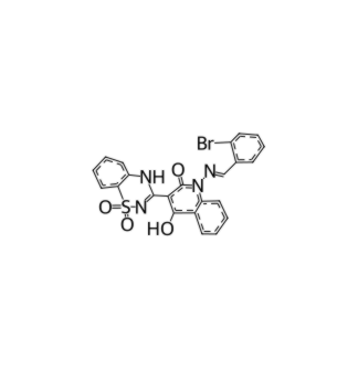 O=c1c(C2=NS(=O)(=O)c3ccccc3N2)c(O)c2ccccc2n1N=Cc1ccccc1Br